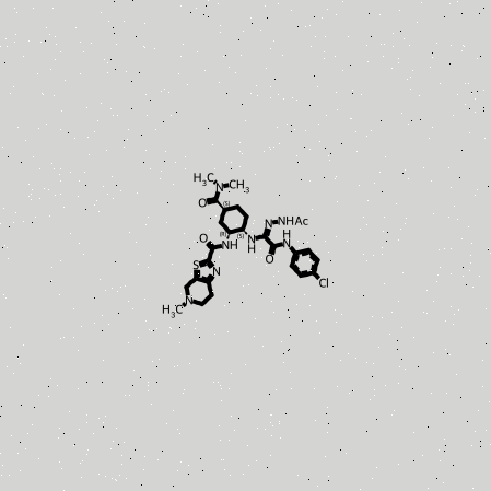 CC(=O)NN=C(N[C@H]1CC[C@H](C(=O)N(C)C)C[C@H]1NC(=O)c1nc2c(s1)CN(C)CC2)C(=O)Nc1ccc(Cl)cc1